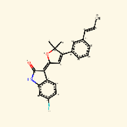 CC1(C)OC(=C2C(=O)Nc3cc(F)ccc32)C=C1c1cccc(C=CC#N)c1